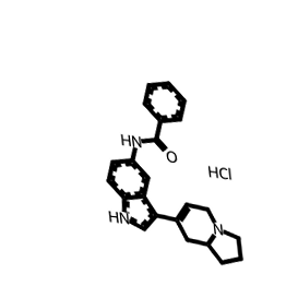 Cl.O=C(Nc1ccc2[nH]cc(C3=CCN4CCCC4C3)c2c1)c1ccccc1